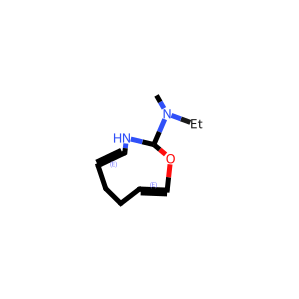 CCN(C)C1N/C=C/CC/C=C/O1